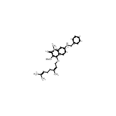 COc1c(OCC=C(C)CCC=C(C)C)c2ccc(NCc3ccccc3)cc2n(C)c1=O